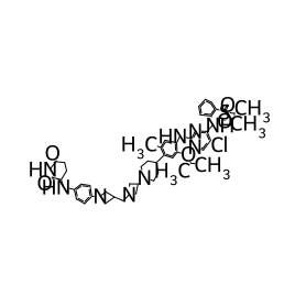 Cc1cc(Nc2ncc(Cl)c(Nc3ccccc3S(=O)(=O)C(C)C)n2)c(OC(C)C)cc1C1CCN(C2CN(CC3CN(c4ccc(NC5CCC(=O)NC5=O)cc4)C3)C2)CC1